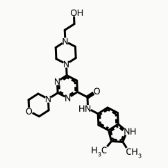 Cc1[nH]c2ccc(NC(=O)c3cc(N4CCN(CCO)CC4)nc(N4CCOCC4)n3)cc2c1C